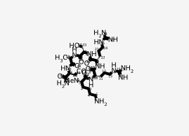 CN[C@@H](CCCCN)C(=O)N[C@@H](CCCNC(=N)N)C(=O)N[C@@H](CCCNC(=N)N)C(=O)N[C@@H](CO)C(=O)N[C@@H](C)C(=O)N[C@@H](CC(=O)O)C(N)=O